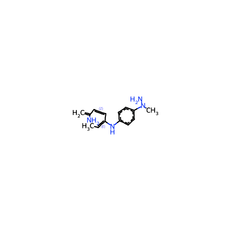 C=C(N)/C=C\C(=C/C)Nc1ccc(N(C)N)cc1